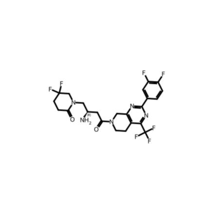 N[C@H](CC(=O)N1CCc2c(nc(-c3ccc(F)c(F)c3)nc2C(F)(F)F)C1)CN1CC(F)(F)CCC1=O